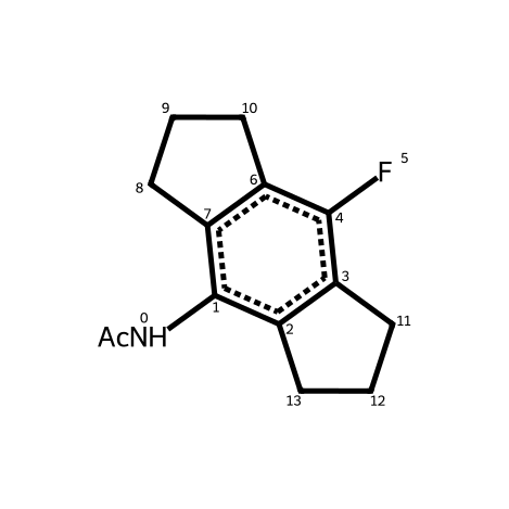 CC(=O)Nc1c2c(c(F)c3c1CCC3)CCC2